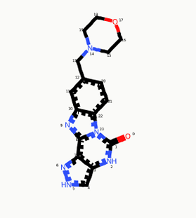 O=c1[nH]c2c[nH]nc2c2nc3cc(CN4CCOCC4)ccc3n12